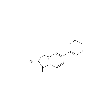 O=c1[nH]c2ccc(C3=CCCCC3)cc2s1